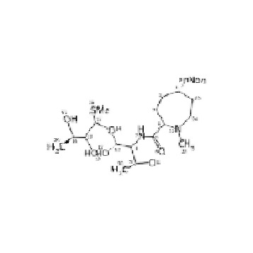 CCCCCCCCC[C@H]1CCC(C(=O)NC(C(C)Cl)[C@H](O)OC(SC)C(O)[C@@H](C)O)N(C)CC1